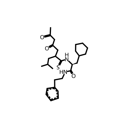 CC(=O)CC(=O)CC(CC(C)C)C(=S)N[C@@H](CC1CCCCC1)C(=O)NCCc1ccccc1